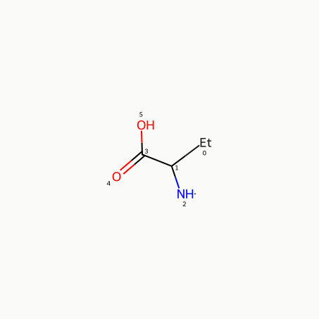 CCC([NH])C(=O)O